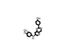 COc1ccc(Nc2cnc3cnc(-c4ccc(O)cc4)nc3c2)cc1